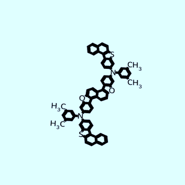 Cc1cc(C)cc(N(c2ccc3c(c2)oc2ccc4c(ccc5oc6cc(N(c7cc(C)cc(C)c7)c7ccc8c(c7)sc7ccc9ccccc9c78)ccc6c54)c23)c2ccc3c(c2)sc2ccc4ccccc4c23)c1